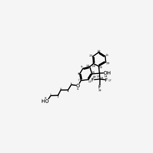 OCCCCCOc1ccc2c(c1)C(O)(C(F)(F)F)c1ccccc1-2